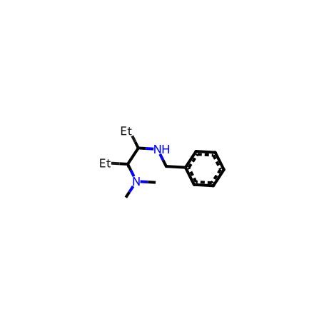 CC[C](C(CC)NCc1ccccc1)N(C)C